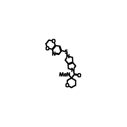 CNC1(C(=O)N2CC3=C(CN(Sc4cnc5c(c4)OCCO5)C3)C2)CCCOC1